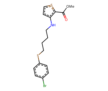 COC(=O)c1sccc1NCCCCSc1ccc(Br)cc1